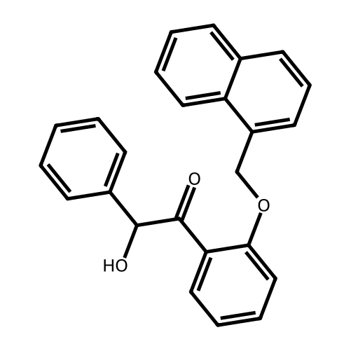 O=C(c1ccccc1OCc1cccc2ccccc12)C(O)c1ccccc1